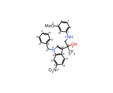 COc1cccc(NCC(O)(c2cn(Cc3ccccc3)c3cc([N+](=O)[O-])ccc23)C(F)(F)F)c1